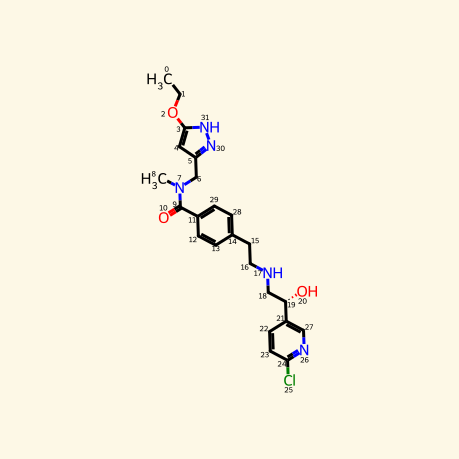 CCOc1cc(CN(C)C(=O)c2ccc(CCNC[C@H](O)c3ccc(Cl)nc3)cc2)n[nH]1